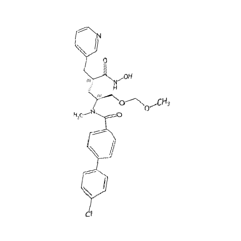 COCOC[C@H](C[C@H](Cc1cccnc1)C(=O)NO)N(C)C(=O)c1ccc(-c2ccc(Cl)cc2)cc1